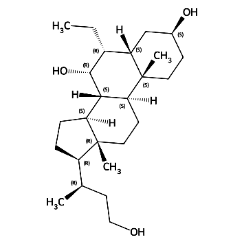 CC[C@H]1[C@@H](O)[C@@H]2[C@H](CC[C@]3(C)[C@@H]([C@H](C)CCO)CC[C@@H]23)[C@@]2(C)CC[C@H](O)C[C@@H]12